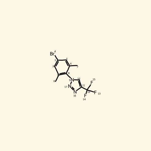 Cc1cc(Br)cc(C)c1-n1cc(C(F)(F)F)nn1